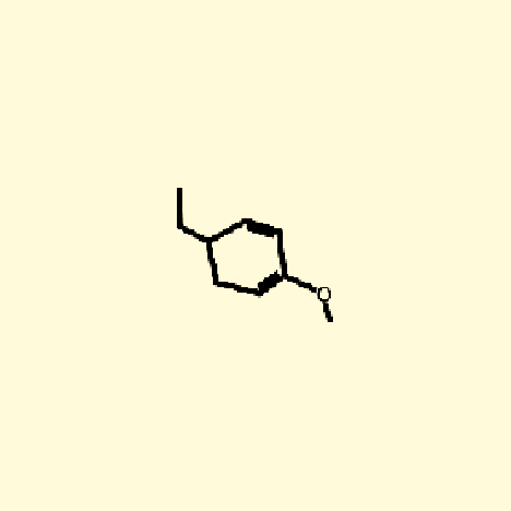 CCC1C=CC(OC)=CC1